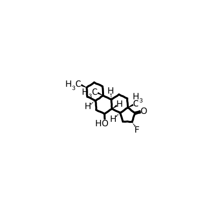 C[C@H]1CC[C@@]2(C)[C@@H](CC(O)[C@@H]3[C@@H]2CC[C@]2(C)C(=O)[C@H](F)C[C@@H]32)C1